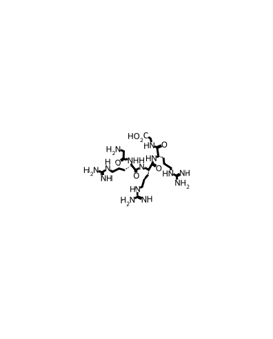 N=C(N)NCCC[C@H](NC(=O)CN)C(=O)N[C@@H](CCCNC(=N)N)C(=O)N[C@@H](CCCNC(=N)N)C(=O)NCC(=O)O